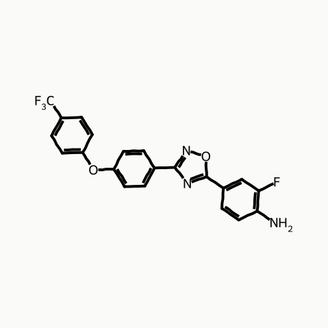 Nc1ccc(-c2nc(-c3ccc(Oc4ccc(C(F)(F)F)cc4)cc3)no2)cc1F